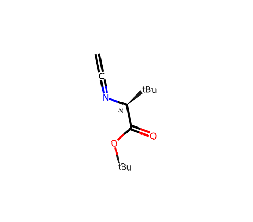 C=C=N[C@H](C(=O)OC(C)(C)C)C(C)(C)C